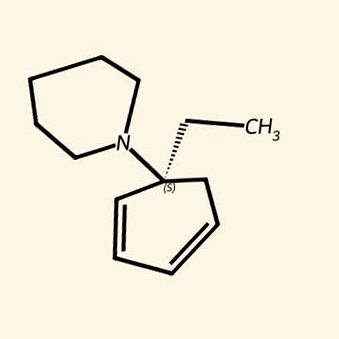 CC[C@@]1(N2CCCCC2)C=CC=CC1